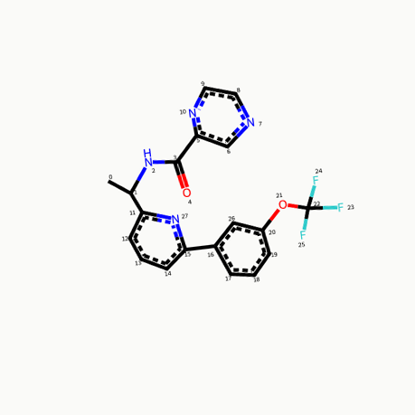 CC(NC(=O)c1cnccn1)c1cccc(-c2cccc(OC(F)(F)F)c2)n1